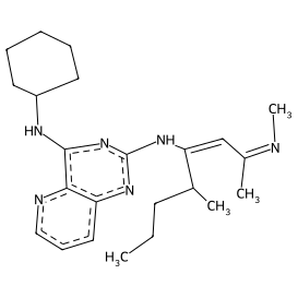 CCCC(C)/C(=C\C(C)=N/C)Nc1nc(NC2CCCCC2)c2ncccc2n1